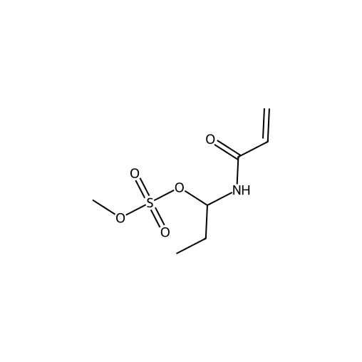 C=CC(=O)NC(CC)OS(=O)(=O)OC